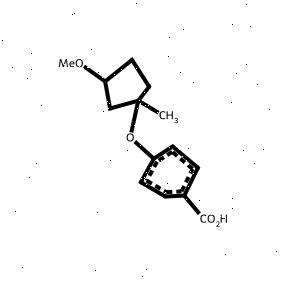 COC1CCC(C)(Oc2ccc(C(=O)O)cc2)C1